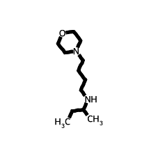 CCC(C)NCCCCN1CCOCC1